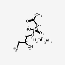 CC(=O)OP(=O)(O)OCC(O)CO.[CaH2].[CaH2]